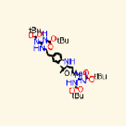 COC(C)(C)/C(=C\CN/C(=N\C(=O)OC(C)(C)C)NC(=O)OC(C)(C)C)Nc1ccc(CCN/C(=N/C(=O)OC(C)(C)C)NC(=O)OC(C)(C)C)cc1